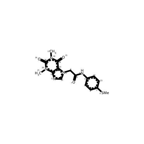 CSc1ccc(NC(=O)Cn2cnc3c2c(=O)n(C)c(=O)n3C)cc1